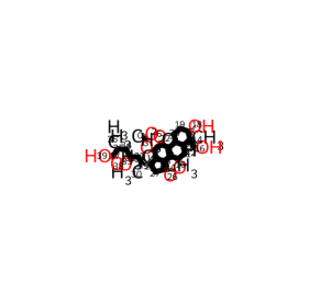 CC(=O)O[C@@H]1C(=O)C2=C(C(=O)C[C@H]3[C@](C)(CO)[C@@H](O)CC[C@]23C)[C@]2(C)C(=O)C[C@H](C(C)CC(=O)CC(C)C(=O)O)[C@@]12C